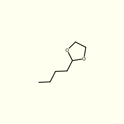 CCCCC1OCCO1